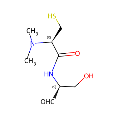 CN(C)[C@@H](CS)C(=O)N[C@H](C=O)CO